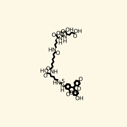 O=C(O)CCC(NC(=O)N[C@@H](CCCCNC(=O)CCCCCCC(=O)NC(CCCCNC(=S)Nc1ccc(-c2c3ccc(=O)cc-3oc3cc(O)ccc23)c(C(=O)O)c1)C(=O)O)C(=O)O)C(=O)O